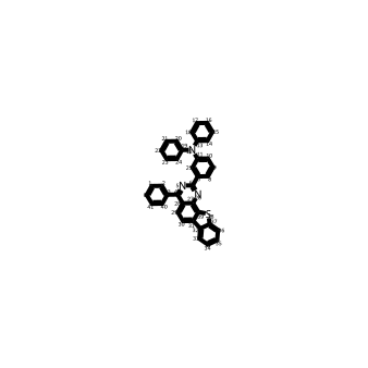 c1ccc(-c2nc(-c3cccc(N(c4ccccc4)c4ccccc4)c3)nc3c2ccc2c4ccccc4sc23)cc1